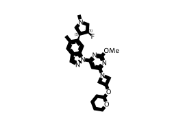 COc1nc(N2CC(OC3CCCCO3)C2)cc(-n2ncc3cc(C)c([C@H]4CN(C)C[C@H]4F)cc32)n1